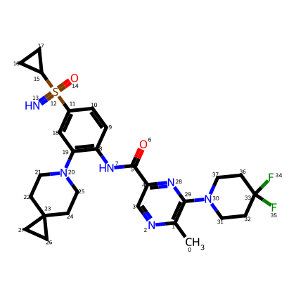 Cc1ncc(C(=O)Nc2ccc(S(=N)(=O)C3CC3)cc2N2CCC3(CC2)CC3)nc1N1CCC(F)(F)CC1